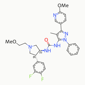 COCCN1C[C@@H](NC(=O)Nc2c(C)c(-c3ccc(OC)nc3)nn2-c2ccccc2)[C@H](c2ccc(F)c(F)c2)C1